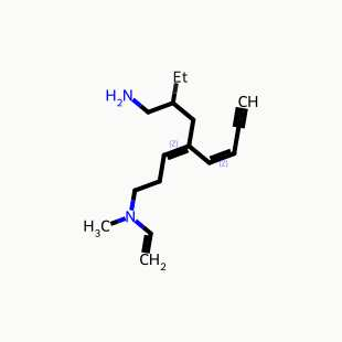 C#C/C=C\C(=C/CCN(C)C=C)CC(CC)CN